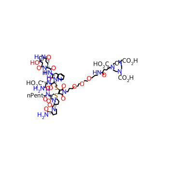 CCCCCC(=O)N[C@@H](CSC1=C(SC[C@H](NC(=O)[C@H](Cc2ccccc2)NC(=O)[C@H](CCC(N)=O)NC(=O)C[C@@H](C)O)C(=O)N[C@@H](CC(=O)O)C(N)=O)C(=O)N(CCCOCCOCCOCCCNC(=O)CC[C@H](C(=O)O)N2CCN(CC(=O)O)CCN(CC(=O)O)CC2)C1=O)C(=O)N1CCC[C@H]1C(=O)N1CCC[C@H]1C(N)=O